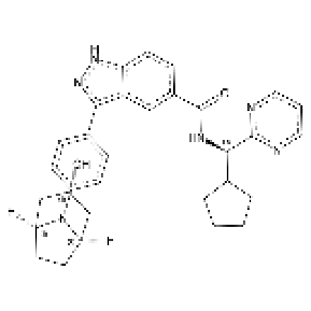 O=C(N[C@@H](c1ncccn1)C1CCCC1)c1ccc2[nH]nc(-c3ccc(N4[C@@H]5CC[C@H]4C[C@H](O)C5)cc3)c2c1